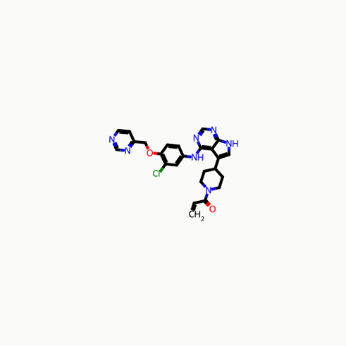 C=CC(=O)N1CCC(c2c[nH]c3ncnc(Nc4ccc(OCc5ccncn5)c(Cl)c4)c23)CC1